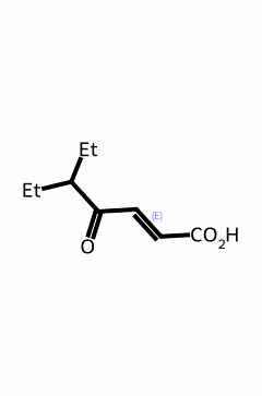 CCC(CC)C(=O)/C=C/C(=O)O